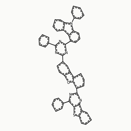 c1ccc(-c2nc(-c3ccc4oc5c(-c6nc(-c7ccccc7)c7sc8ccccc8c7n6)cccc5c4c3)nc(-c3cccc4c3c3ccccc3n4-c3ccccc3)n2)cc1